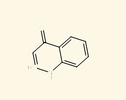 O=c1c[siH][nH]c2ccccc12